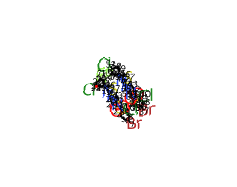 O=S(=O)(c1ccc(Br)cc1Cl)N1CCN(c2nc(-c3cc(F)cc(Cl)c3)cs2)CC1.O=S(=O)(c1ccc(Br)cc1Cl)N1CCN(c2nc(-c3ccc(Cl)c(F)c3)cs2)CC1